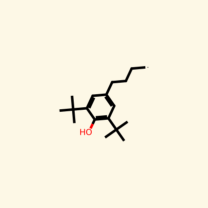 [CH2]CCCc1cc(C(C)(C)C)c(O)c(C(C)(C)C)c1